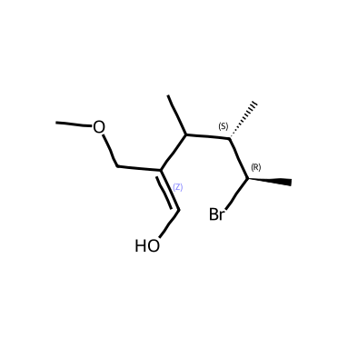 COC/C(=C\O)C(C)[C@H](C)[C@@H](C)Br